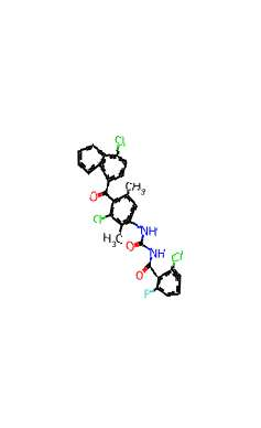 Cc1cc(NC(=O)NC(=O)c2c(F)cccc2Cl)c(C)c(Cl)c1C(=O)c1ccc(Cl)c2ccccc12